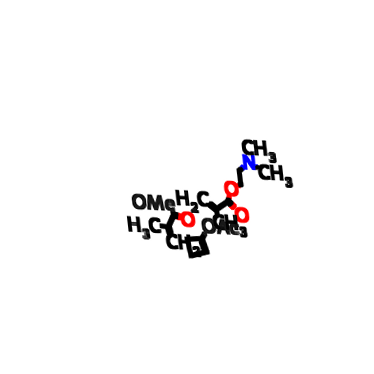 C=C(C)C(=O)OC.C=C(C)C(=O)OCCN(C)C.CC(=O)OC1=CCC1